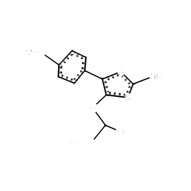 CCCCCC(C)Oc1nc(N)sc1-c1ccc(OC)cc1